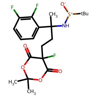 CC1(C)OC(=O)C(F)(CCC(C)(N[S+]([O-])C(C)(C)C)c2cccc(F)c2F)C(=O)O1